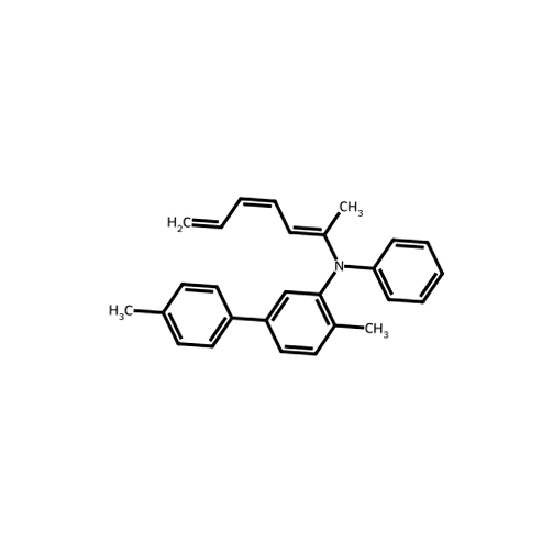 C=C/C=C\C=C(/C)N(c1ccccc1)c1cc(-c2ccc(C)cc2)ccc1C